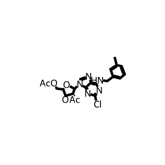 CC(=O)OCC1C[C@@H](OC(C)=O)C(n2cnc3c(NCc4cccc(C)c4)nc(Cl)nc32)O1